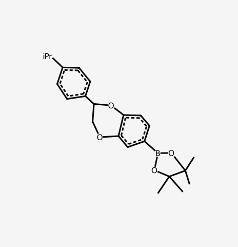 CC(C)c1ccc(C2COc3cc(B4OC(C)(C)C(C)(C)O4)ccc3O2)cc1